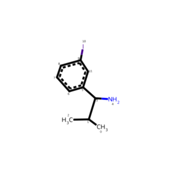 CC(C)C(N)c1cccc(I)c1